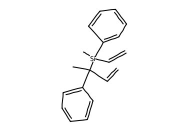 C=CC(C)(c1ccccc1)[Si](C)(C=C)c1ccccc1